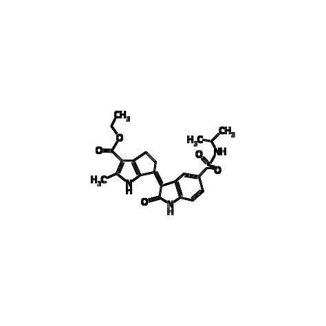 CCOC(=O)c1c(C)[nH]c2c1CC/C2=C1/C(=O)Nc2ccc(S(=O)(=O)NC(C)C)cc21